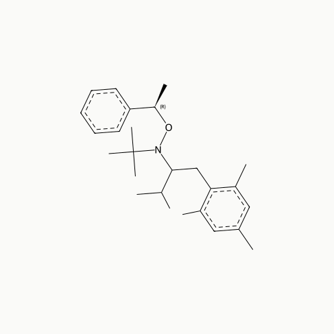 Cc1cc(C)c(CC(C(C)C)N(O[C@H](C)c2ccccc2)C(C)(C)C)c(C)c1